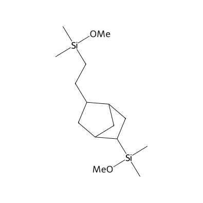 CO[Si](C)(C)CCC1CC2CC1CC2[Si](C)(C)OC